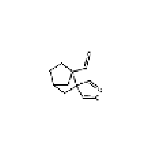 O=CC1(C=O)CC2CCC1(C=O)C2